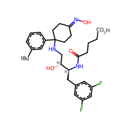 CC(C)(C)c1cccc(C2(NC[C@@H](O)[C@H](Cc3cc(F)cc(F)c3)NC(=O)CCCC(=O)O)CCC(=NO)CC2)c1